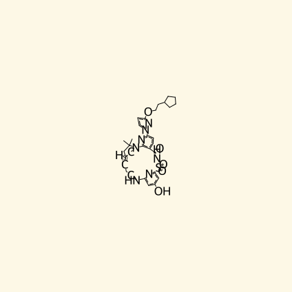 CC1(C)C[C@@H]2CCCNc3cc(O)cc(n3)S(=O)(=O)NC(=O)c3ccc(-n4ccc(OCCC5CCCC5)n4)nc3N1C2